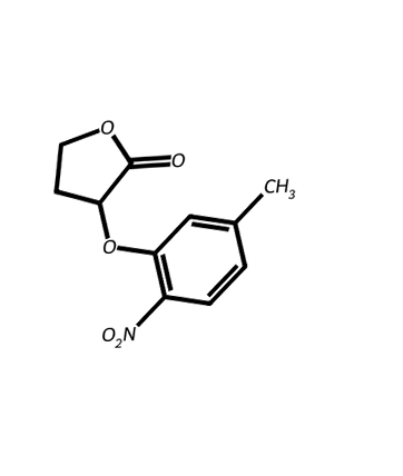 Cc1ccc([N+](=O)[O-])c(OC2CCOC2=O)c1